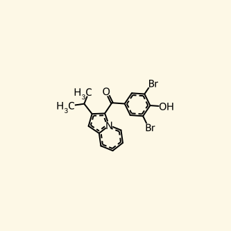 CC(C)c1cc2ccccn2c1C(=O)c1cc(Br)c(O)c(Br)c1